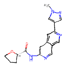 Cn1cc(-c2cc3cc(NC(=O)[C@@H]4CCCO4)ncc3cn2)cn1